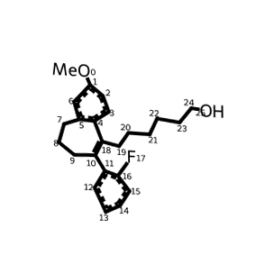 COc1ccc2c(c1)CCCC(c1ccccc1F)=C2CCCCCCO